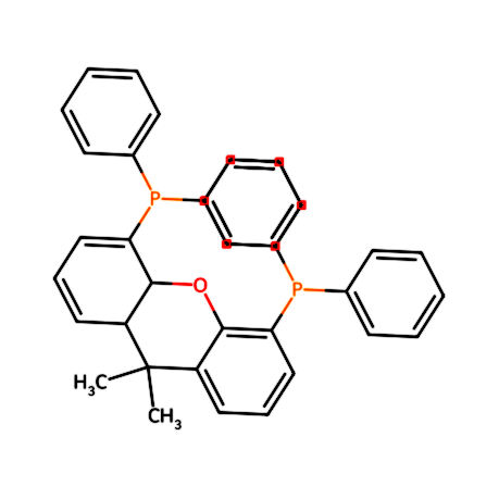 CC1(C)c2cccc(P(c3ccccc3)c3ccccc3)c2OC2C(P(c3ccccc3)c3ccccc3)=CC=CC21